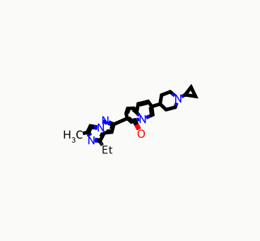 CCc1nc(C)cn2nc(C3=C\C(=O)N4C=C(C5CCN(C6CC6)CC5)C=C\C4=C/C=C/3)cc12